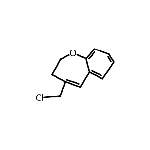 ClCC1=Cc2ccccc2OCC1